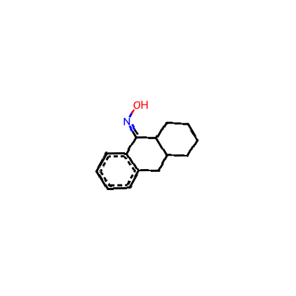 O/N=C1/c2ccccc2CC2CCCCC12